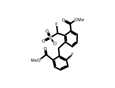 COC(=O)c1cccc(F)c1Cc1cccc(C(=O)OC)c1C(F)S(=O)(=O)Cl